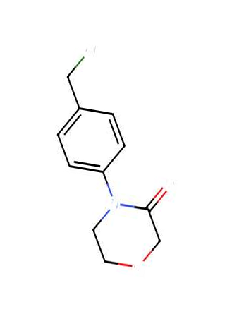 O=C1COCCN1c1ccc(CCl)cc1